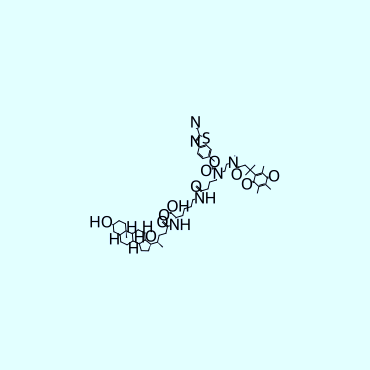 CC1=C(C)C(=O)C(C(C)(C)CC(=O)N(C)CCN(CCCC(=O)NCCCCC(NC(=O)CC[C@@H](C)[C@H]2CC[C@H]3[C@@H]4CC[C@@H]5C[C@H](O)CC[C@]5(C)[C@H]4C[C@@H]4O[C@@]423)C(=O)O)C(=O)Oc2ccc3nc(C#N)sc3c2)=C(C)C1=O